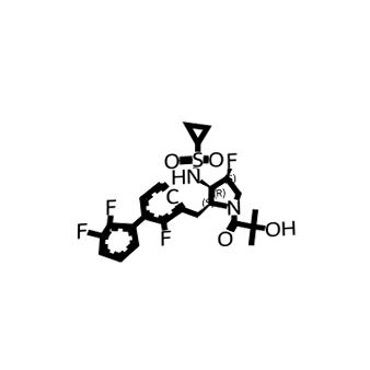 CC(C)(O)C(=O)N1C[C@H](F)[C@H](NS(=O)(=O)C2CC2)[C@@H]1Cc1cccc(-c2cccc(F)c2F)c1F